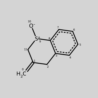 C=C1Cc2ccccc2[S+]([O-])C1